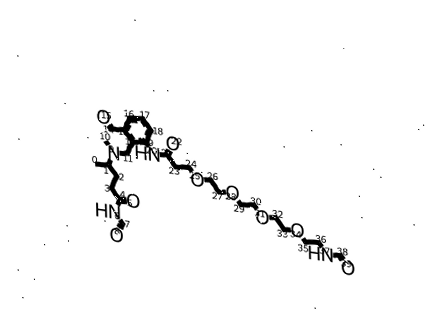 CC(CCC(=O)NC=O)N(C)Cc1c(C=O)cccc1NC(=O)CCOCCOCCOCCOCCNC=O